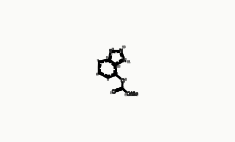 COC(=O)Oc1cccc2snnc12